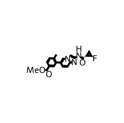 COC(=O)c1ccc(C)c(-c2ccc3nc(NC(=O)[C@@H]4C[C@@H]4F)cn3c2)c1